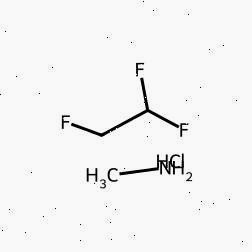 CN.Cl.FCC(F)F